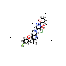 O=c1c(Cl)c(N2CCc3c(Oc4ccc(F)cc4C(F)(F)F)ccnc3C2)cnn1C1CCCCO1